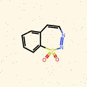 O=S1(=O)N=NC=Cc2ccccc21